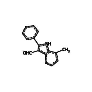 Cc1cccc2c(C=O)c(-c3ccccc3)[nH]c12